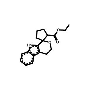 CCOC(=O)C1CCCC12OCCc1c2[nH]c2ccccc12